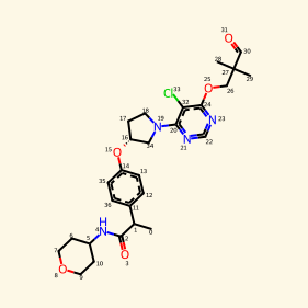 CC(C(=O)NC1CCOCC1)c1ccc(O[C@@H]2CCN(c3ncnc(OCC(C)(C)C=O)c3Cl)C2)cc1